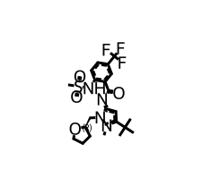 Cn1c(C(C)(C)C)cc(=NC(=O)c2cc(C(F)(F)F)ccc2NS(C)(=O)=O)n1C[C@H]1CCCO1